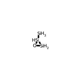 [SiH3][SiH]1O[SiH2]1